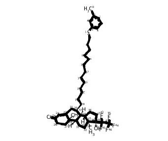 Cc1cccc(SCCCCCCCCCCCCC[C@@H]2CC3=CC(=O)CC[C@]3(C)[C@H]3CC[C@@]4(C)[C@@H](CC[C@@]4(O)C(F)(F)C(F)(F)F)[C@H]23)c1